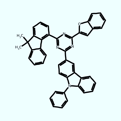 CC1(C)c2ccccc2-c2c(-c3nc(-c4ccc5c(c4)c4ccccc4n5-c4ccccc4)nc(-c4cc5ccccc5o4)n3)cccc21